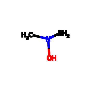 BN(C)O